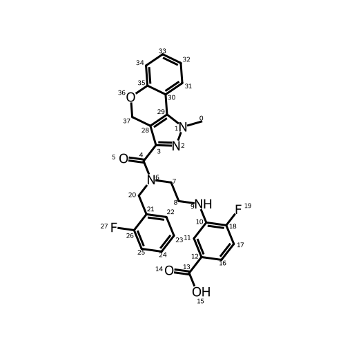 Cn1nc(C(=O)N(CCNc2cc(C(=O)O)ccc2F)Cc2ccccc2F)c2c1-c1ccccc1OC2